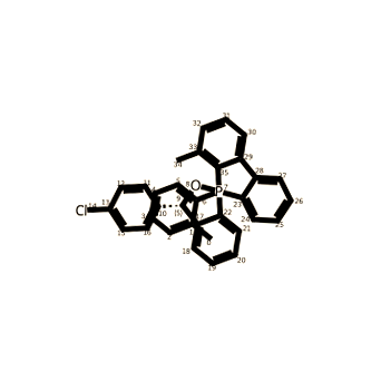 Cc1ccccc1P12(O[C@@H](c3ccc(Cl)cc3)c3ccccc31)c1ccccc1-c1cccc(C)c12